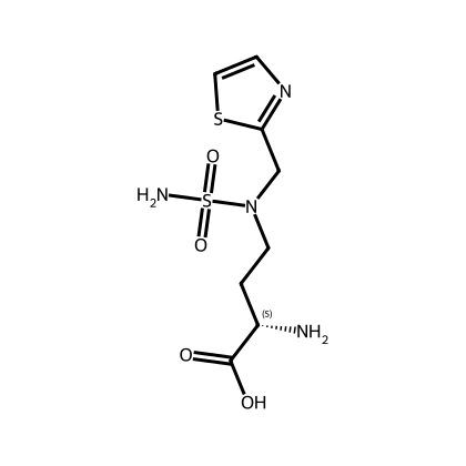 N[C@@H](CCN(Cc1nccs1)S(N)(=O)=O)C(=O)O